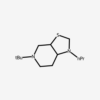 CCCN1CSC2CN(C(C)(C)C)CCC21